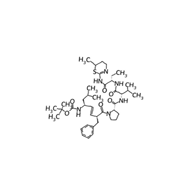 CC[C@H](NC(=O)[C@@H](NC(=O)[C@@H]1CCCN1C(=O)[C@H](/C=C/[C@H](CC(C)C)NC(=O)OC(C)(C)C)Cc1ccccc1)C(C)C)C(=O)NC1=NCCC(C)S1